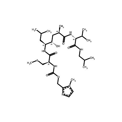 CSC[C@H](NC(=O)OCc1nccn1C)C(=O)N[C@@H](CC(C)C)[C@@H](O)C[C@@H](C)C(=O)N[C@@H](C(=O)NCC(C)C)C(C)C